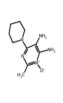 Cc1nc(N2CCCCC2)c(N)c(N)[n+]1[O-]